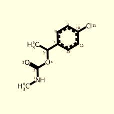 CNC(=O)OC(C)c1ccc(Cl)cc1